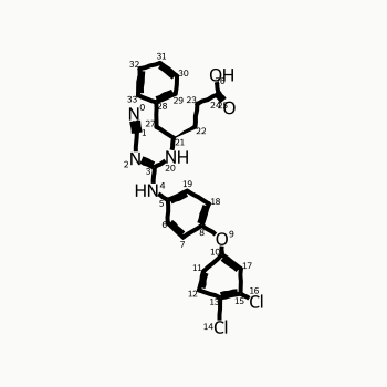 N#C/N=C(/Nc1ccc(Oc2ccc(Cl)c(Cl)c2)cc1)N[C@H](CCC(=O)O)Cc1ccccc1